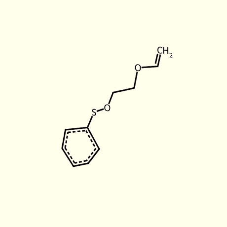 C=COCCOSc1ccccc1